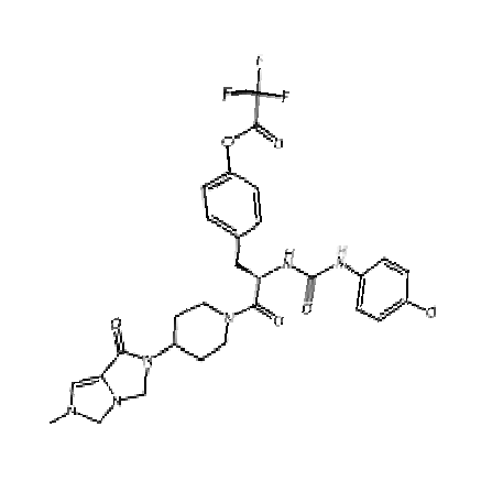 CN1C=C2C(=O)N(C3CCN(C(=O)[C@@H](Cc4ccc(OC(=O)C(F)(F)F)cc4)NC(=O)Nc4ccc(Cl)cc4)CC3)CN2C1